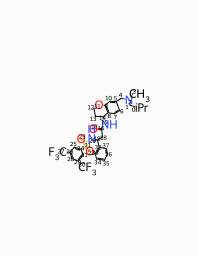 CC(C)CN(C)Cc1ccc2c(c1)OCCC2NC(=O)CC(NS(=O)(=O)c1cc(C(F)(F)F)cc(C(F)(F)F)c1)c1ccccc1